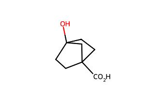 O=C(O)C12CCC(O)(CC1)C2